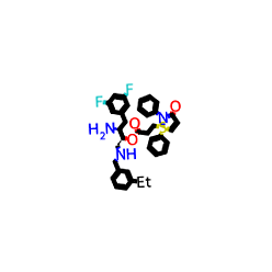 CCc1cccc(CNC[C@@H](OC(=O)CCS2(c3ccccc3)C=CC(=O)N2c2ccccc2)[C@@H](N)Cc2cc(F)cc(F)c2)c1